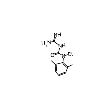 CCN(C(=O)NC(=N)N)c1c(C)cccc1C